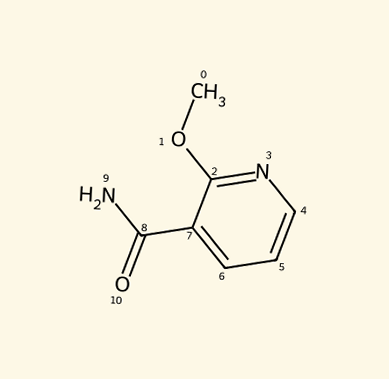 COc1ncccc1C(N)=O